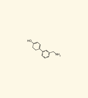 NCc1cccc(C2=CC=C(O)CC2)c1